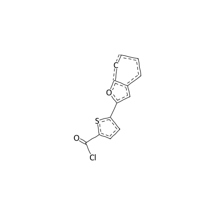 O=C(Cl)c1ccc(-c2cc3ccccc3o2)s1